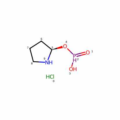 Cl.O=[PH](O)O[C@@H]1CCCN1